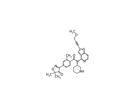 COCC#Cc1cc2c(N(C(=O)c3ccc(C4=NOC(C)(C)C4=O)cc3C)[C@@H]3CCCNC3)nccc2s1